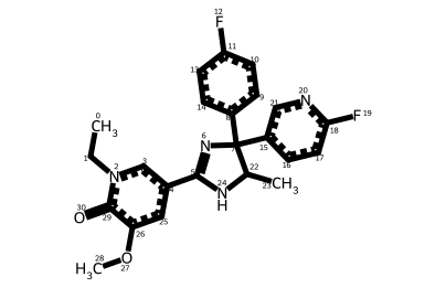 CCn1cc(C2=NC(c3ccc(F)cc3)(c3ccc(F)nc3)C(C)N2)cc(OC)c1=O